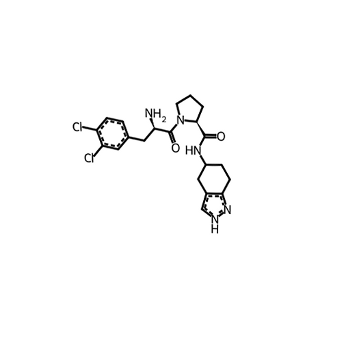 N[C@H](Cc1ccc(Cl)c(Cl)c1)C(=O)N1CCC[C@H]1C(=O)NC1CCc2n[nH]cc2C1